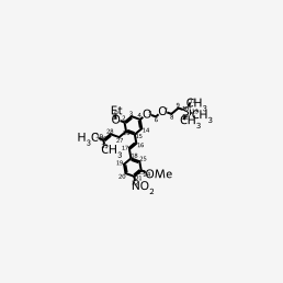 CCOc1cc(OCOCC[Si](C)(C)C)cc(C=Cc2ccc([N+](=O)[O-])c(OC)c2)c1CC=C(C)C